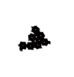 Cc1cccc(-c2ccc3c4ccccc4n(-c4cncc(-n5c6ccccc6c6ccc(-c7cccc(C)c7)cc65)c4-c4ccccc4C#N)c3c2)c1